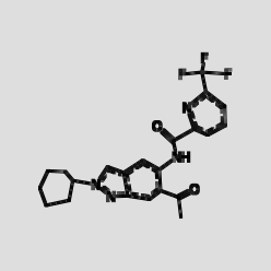 CC(=O)c1cc2nn(C3CCCCC3)cc2cc1NC(=O)c1cccc(C(F)(F)F)n1